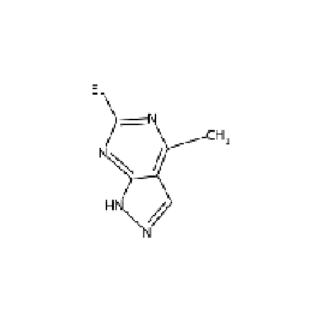 CCc1nc(C)c2cn[nH]c2n1